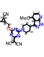 COc1ccnc2[nH]nc(C3CCN(c4nc(OC[C@H]5C[C@H]5C#N)nc(C(C#N)C#N)n4)CC3)c12